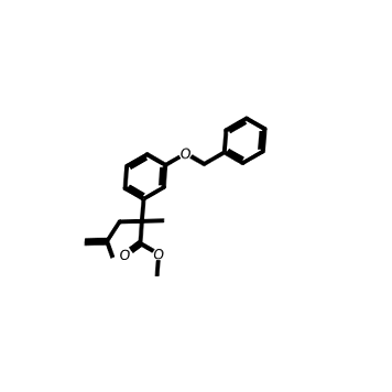 C=C(C)CC(C)(C(=O)OC)c1cccc(OCc2ccccc2)c1